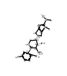 Cn1c([S+](C)[O-])nc2c1CN([C@H]1CO[C@H](c3cc(F)ccc3F)C(N)[C@H]1F)C2